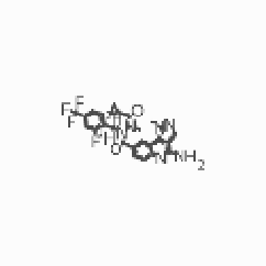 [2H]C([2H])(c1ccc(C(F)(F)F)cc1F)N(C(=O)c1ccc2nc(N)c3cnn(C)c3c2c1)N(C)C(=O)C1CC1